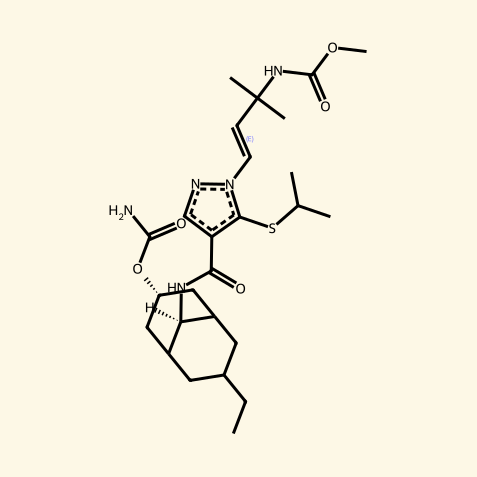 CCC1CC2C[C@H](OC(N)=O)CC(C1)[C@@H]2NC(=O)c1cnn(/C=C/C(C)(C)NC(=O)OC)c1SC(C)C